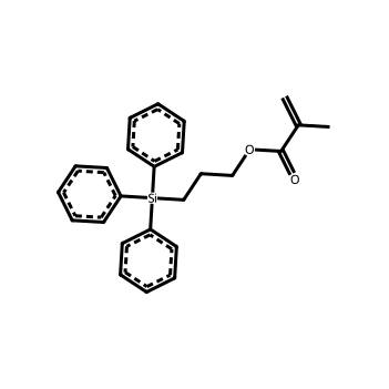 C=C(C)C(=O)OCCC[Si](c1ccccc1)(c1ccccc1)c1ccccc1